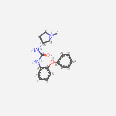 CN1CC[C@@H](NC(=O)Nc2ccccc2Oc2ccccc2)C1